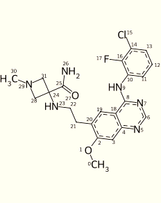 COc1cc2ncnc(Nc3cccc(Cl)c3F)c2cc1CCNC1(C(N)=O)CN(C)C1